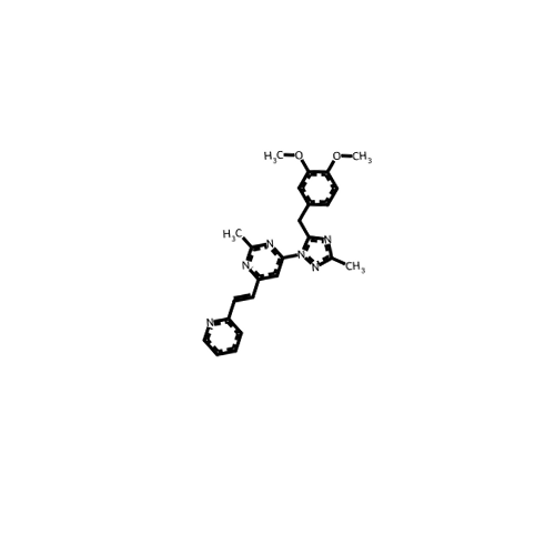 COc1ccc(Cc2nc(C)nn2-c2cc(/C=C/c3ccccn3)nc(C)n2)cc1OC